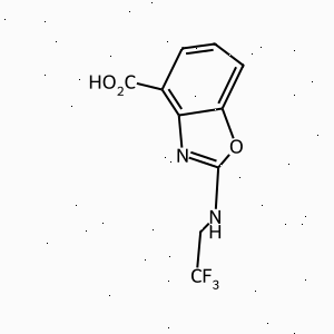 O=C(O)c1cccc2oc(NCC(F)(F)F)nc12